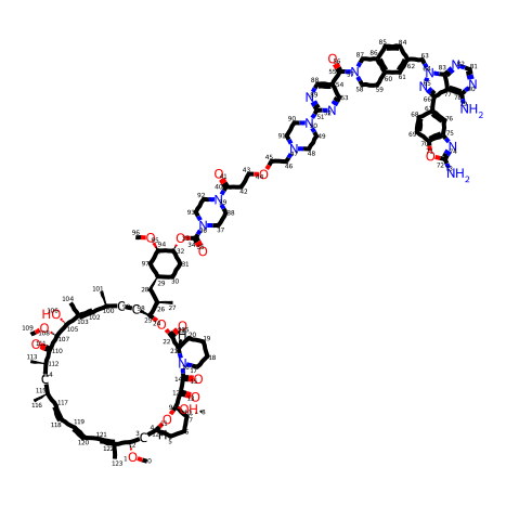 CO[C@H]1C[C@@H]2CC[C@@H](C)[C@@](O)(O2)C(=O)C(=O)N2CCCC[C@H]2C(=O)O[C@H]([C@H](C)C[C@@H]2CC[C@@H](OC(=O)N3CCN(C(=O)CCOCCN4CCN(c5ncc(C(=O)N6CCc7cc(Cn8nc(-c9ccc%10oc(N)nc%10c9)c9c(N)ncnc98)ccc7C6)cn5)CC4)CC3)[C@H](OC)C2)CC[C@H](C)/C=C(\C)[C@@H](O)[C@@H](OC)C(=O)[C@H](C)C[C@H](C)/C=C/C=C/C=C/1C